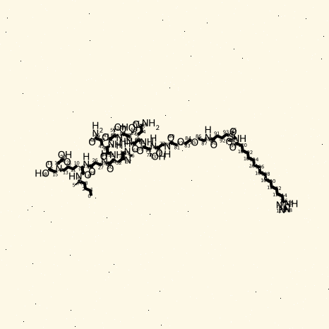 CCCC[C@@H](C)NC(=O)[C@H](CCCCN(CC(=O)O)CC(=O)O)NC(=O)CCNC(=O)[C@H](Cc1c[nH]cn1)NC(=O)[C@H](CCC(N)=O)NC(=O)[C@H](CO)NC(=O)[C@H](CO)NC(=O)[C@H](CCC(N)=O)NC(=O)[C@@H](CO)NC(=O)CNC(=O)COCCOCCNC(=O)CCCS(=O)(=O)NC(=O)CCCCCCCCCCCCCCCc1nnn[nH]1